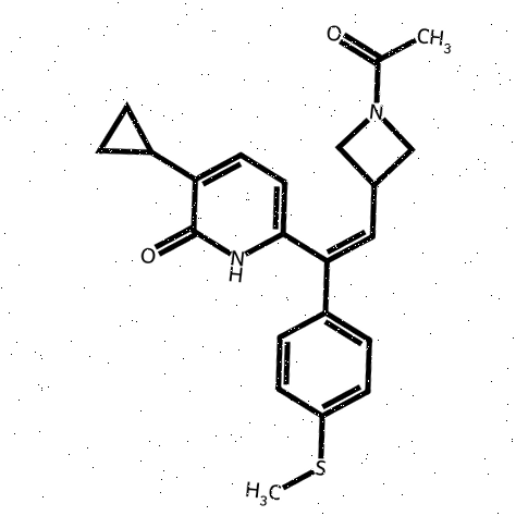 CSc1ccc(C(=CC2CN(C(C)=O)C2)c2ccc(C3CC3)c(=O)[nH]2)cc1